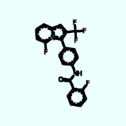 O=C(Nc1ccc(-c2c(C(F)(F)F)cc3cccc(F)n23)cc1)c1ccccc1F